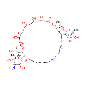 CC1/C=C/C=C/CC/C=C/C=C/C=C/C=C/C(OC2O[C@H](C)[C@@H](O)[C@H](N)[C@@H]2O)CC2OC(O)(CC(O)C(O)CCC(O)CC(O)CC(O)CC(=O)OC(C)C(C)C1OC1C[C@@H](O)[C@@H](O)[C@H](C)O1)CC(O)C2C(=O)O